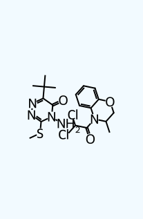 CC1COc2ccccc2N1C(=O)C(Cl)Cl.CSc1nnc(C(C)(C)C)c(=O)n1N